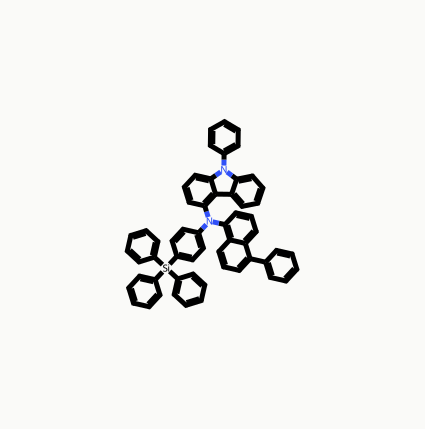 c1ccc(-c2cccc3c(N(c4ccc([Si](c5ccccc5)(c5ccccc5)c5ccccc5)cc4)c4cccc5c4c4ccccc4n5-c4ccccc4)cccc23)cc1